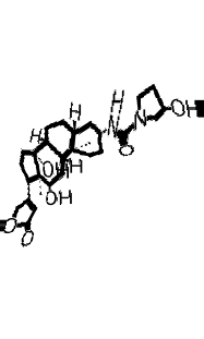 C[C@@]12CC[C@@H](NC(=O)N3CC[C@@H](O)C3)C[C@H]1CC[C@@H]1[C@H]2C[C@@H](O)[C@@]2(C)[C@@H](C3=CC(=O)OC3)CC[C@@]12O